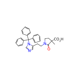 CC1(C(=O)O)CCN(CCc2cncn2C(c2ccccc2)(c2ccccc2)c2ccccc2)C1=O